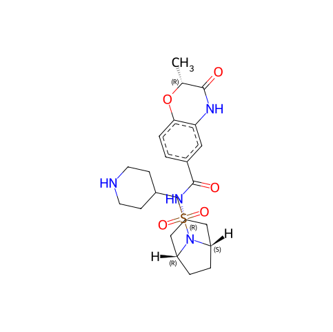 C[C@H]1Oc2ccc(C(=O)N[C@H]3C[C@H]4CC[C@@H](C3)N4S(=O)(=O)CC3CCNCC3)cc2NC1=O